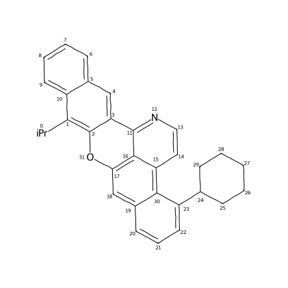 CC(C)c1c2c(cc3ccccc13)-c1nccc3c1c(cc1cccc(C4CCCCC4)c13)O2